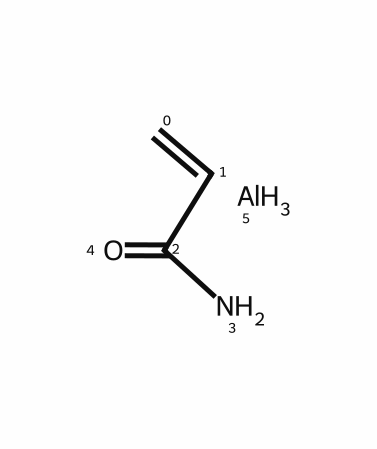 C=CC(N)=O.[AlH3]